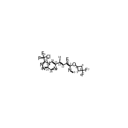 C=N/C(OC1CC(F)(F)C1)=C(F)\C=C(/C)c1cn2c(C(F)(F)Cl)nnc2cn1